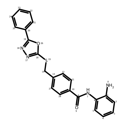 Nc1ccccc1NC(=O)c1ccc(CSc2nnc(-c3ccccc3)o2)cc1